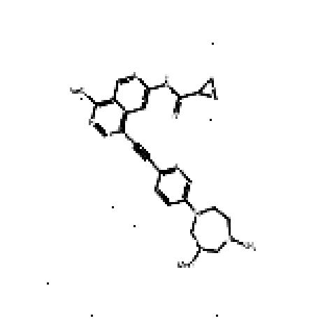 CNc1ncc(C#Cc2ccc(N3CCN(C)CC(OC)C3)cn2)c2cc(NC(=O)C3CC3)ncc12